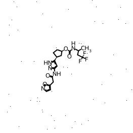 CC(CC(F)(F)F)NC(=O)O[C@@H]1CC[C@H](c2cc(NC(=O)Cc3ccno3)n[nH]2)C1